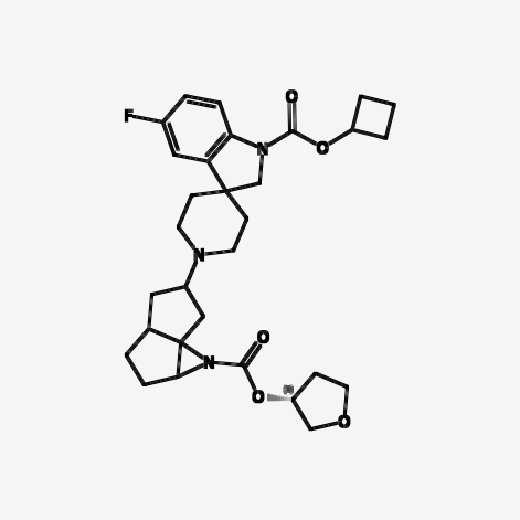 O=C(OC1CCC1)N1CC2(CCN(C3CC4CCC5N(C(=O)O[C@@H]6CCOC6)C45C3)CC2)c2cc(F)ccc21